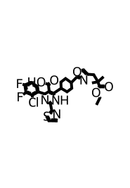 CCOC(=O)C(C)(C)Cc1coc(C2CCC(C3=C(C(=O)O)C(c4ccc(F)c(F)c4Cl)N=C(c4nccs4)N3)CC2)n1